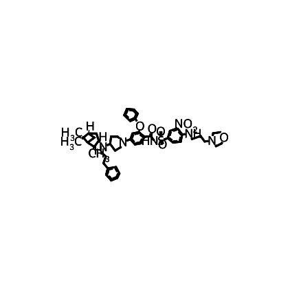 C[C@H]1C2C[C@H](C[C@@H]1N(CCCc1ccccc1)C1CCN(c3ccc(C(=O)NS(=O)(=O)c4ccc(NCCCN5CCOCC5)c([N+](=O)[O-])c4)c(Oc4ccccc4)c3)CC1)C2(C)C